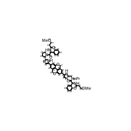 CCCN(Cc1ncc(-c2cc3c4c(c2)OCc2cc(-c5cnc([C@@H]6CCCN6C(=O)[C@H](NC(=O)CCOC)c6ccccc6)[nH]5)cc(c2-4)OC3)[nH]1)C(=O)[C@H](NC(=O)CCOC)c1ccccc1